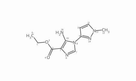 CCOC(=O)c1ncn(-c2ccn(C)n2)c1N